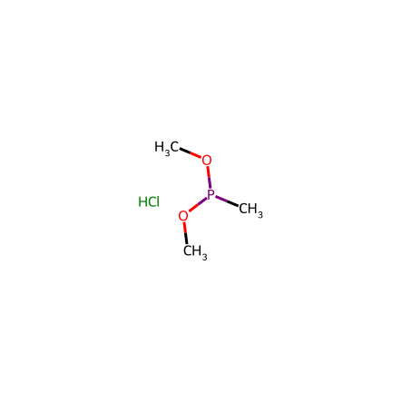 COP(C)OC.Cl